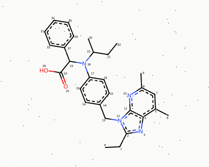 CCc1nc2c(C)cc(C)nc2n1Cc1ccc(N(C(C)CC)C(C(=O)O)c2ccccc2)cc1